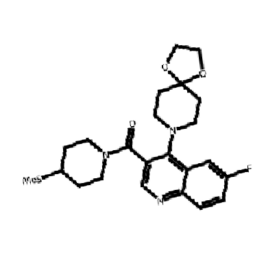 CSC1CCN(C(=O)c2cnc3ccc(F)cc3c2N2CCC3(CC2)OCCO3)CC1